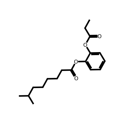 CCC(=O)Oc1ccccc1OC(=O)CCCCCC(C)C